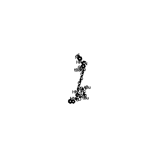 C[C@@H](C(=O)N[C@H](C(=O)N1C[C@@H](NC(=O)COCCOCCOCCOCCOc2cc3nccc(Nc4ccc5scnc5c4)c3cc2S(=O)(=O)C(C)(C)C)C[C@H]1C(=O)N[C@@H]1CCc2ccccc21)C(C)(C)C)N(C)C(=O)OC(C)(C)C